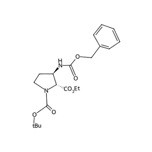 CCOC(=O)[C@H]1[C@H](NC(=O)OCc2ccccc2)CCN1C(=O)OC(C)(C)C